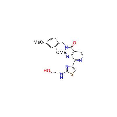 COc1ccc(Cn2cnc3c(-c4csc(NCCO)n4)nccc3c2=O)c(OC)c1